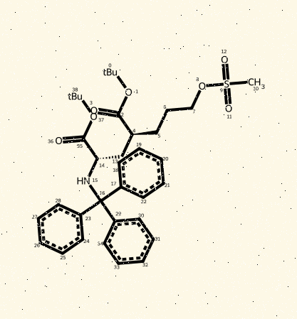 CC(C)(C)OC(=O)[C@@H](CCCOS(C)(=O)=O)C[C@H](NC(c1ccccc1)(c1ccccc1)c1ccccc1)C(=O)OC(C)(C)C